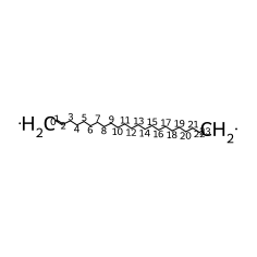 [CH2]C=CCCCCCCCCCCCCCCCCCCCC[CH2]